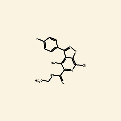 N#Cc1nc(C(=O)NCC(=O)O)c(O)c2c(-c3ccc(F)cc3)nsc12